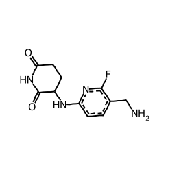 NCc1ccc(NC2CCC(=O)NC2=O)nc1F